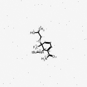 CC(O)COC1(C(F)(F)F)C=CC=C(C(N)=O)C1NC(C)(C)C